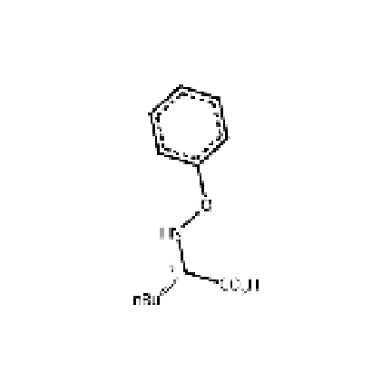 CCCC[C@H](NOc1ccccc1)C(=O)O